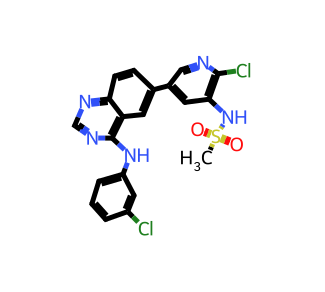 CS(=O)(=O)Nc1cc(-c2ccc3ncnc(Nc4cccc(Cl)c4)c3c2)cnc1Cl